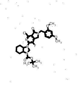 COc1ccc(CN2Cc3c(F)c(N4CN(C(=O)OC(C)(C)C)C5CCCCC54)nc(Cl)c3C2=O)c(OC)c1